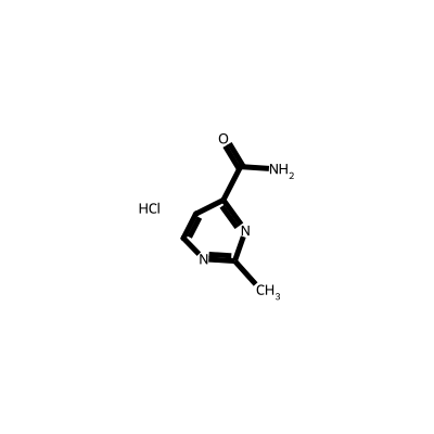 Cc1nccc(C(N)=O)n1.Cl